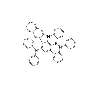 c1ccc(N2B3c4ccccc4-n4c5cc6ccccc6cc5c5c(N(c6ccccc6)c6ccccc6)cc(c3c54)-c3ccccc32)cc1